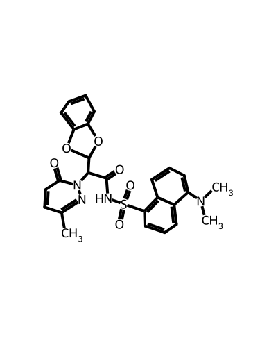 Cc1ccc(=O)n(C(C(=O)NS(=O)(=O)c2cccc3c(N(C)C)cccc23)C2Oc3ccccc3O2)n1